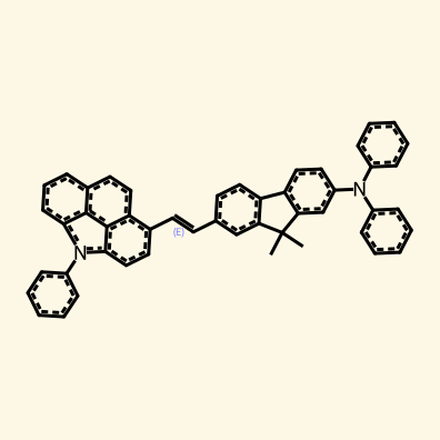 CC1(C)c2cc(/C=C/c3ccc4c5c3ccc3cccc(c35)n4-c3ccccc3)ccc2-c2ccc(N(c3ccccc3)c3ccccc3)cc21